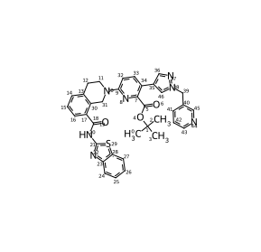 CC(C)(C)OC(=O)c1nc(N2CCc3cccc(C(=O)Nc4nc5ccccc5s4)c3C2)ccc1-c1cnn(Cc2cccnc2)c1